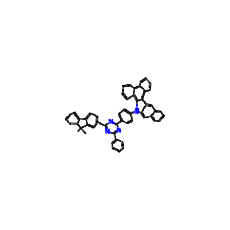 CC1(C)c2ccccc2-c2ccc(-c3nc(-c4ccccc4)nc(-c4ccc(-n5c6cc7ccccc7cc6c6c7ccccc7c7ccccc7c65)cc4)n3)cc21